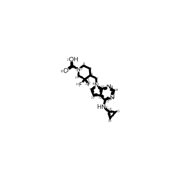 O=C(O)N1CCC(Cn2ccc3c(NC4CC4)ncnc32)C(F)(F)C1